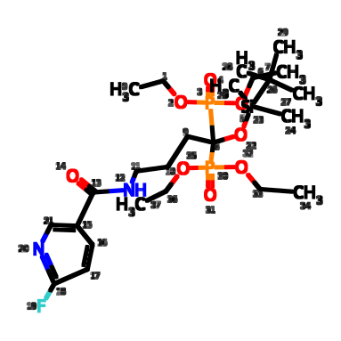 CCOP(=O)(OCC)C(CCCNC(=O)c1ccc(F)nc1)(O[Si](C)(C)C(C)(C)C)P(=O)(OCC)OCC